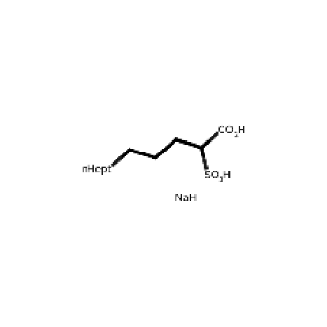 CCCCCCCCCCC(C(=O)O)S(=O)(=O)O.[NaH]